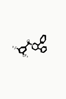 O=C(c1cc(C(F)(F)F)cc(C(F)(F)F)c1)N1CCC(c2ccccc2)C(c2ccccc2)C1